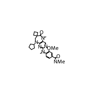 CNC(=O)c1ccc(N(C)c2ncc3c(n2)N(C2CCCC2)CC2(CCC2)C(=O)N3C)c(OC)c1